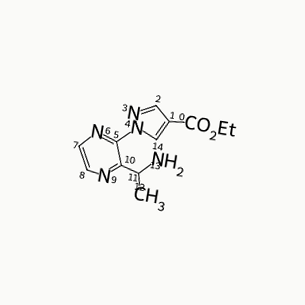 CCOC(=O)c1cnn(-c2nccnc2C(C)N)c1